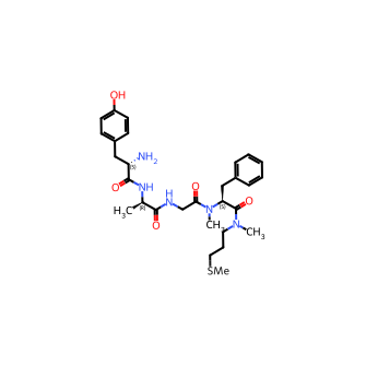 CSCCCN(C)C(=O)[C@H](Cc1ccccc1)N(C)C(=O)CNC(=O)[C@@H](C)NC(=O)[C@@H](N)Cc1ccc(O)cc1